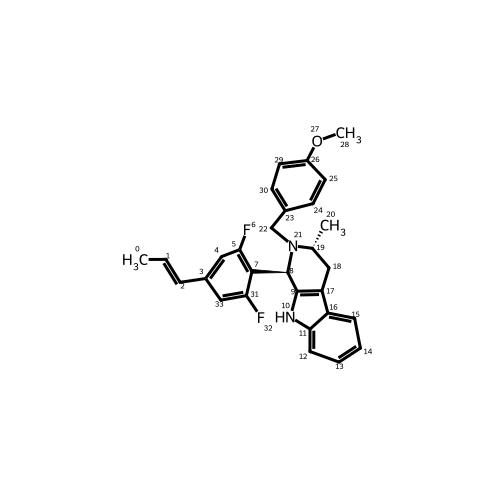 C/C=C/c1cc(F)c([C@@H]2c3[nH]c4ccccc4c3C[C@@H](C)N2Cc2ccc(OC)cc2)c(F)c1